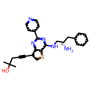 CC(C)(O)CC#Cc1csc2c(NC[C@@H](N)Cc3ccccc3)nc(-c3ccncc3)nc12